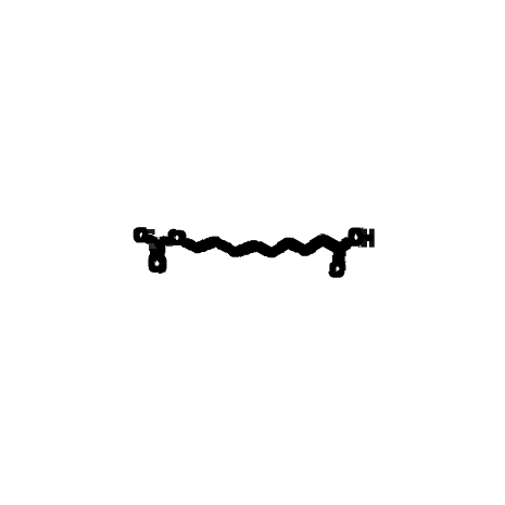 O=C(O)CCCCCCCCO[N+](=O)[O-]